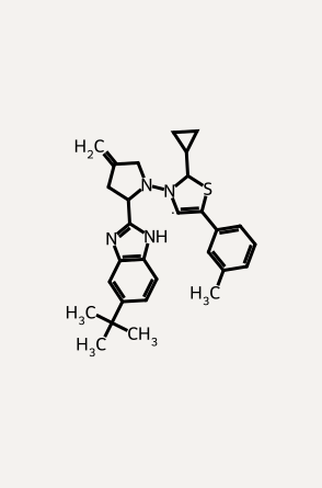 C=C1CC(c2nc3cc(C(C)(C)C)ccc3[nH]2)N(N2[C]=C(c3cccc(C)c3)SC2C2CC2)C1